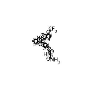 Cc1c(OCC(F)(F)F)ccnc1C[S+]([O-])c1nc2ccccc2n1S(=O)(=O)c1ccc(OCC(=O)NCC(N)=O)cc1